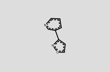 [c]1cc(-c2cccnc2)no1